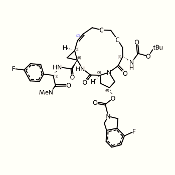 CNC(=O)[C@@H](NC(=O)[C@@]12C[C@H]1/C=C\CCCCC[C@H](NC(=O)OC(C)(C)C)C(=O)N1C[C@H](OC(=O)N3Cc4cccc(F)c4C3)C[C@H]1C(=O)N2)c1ccc(F)cc1